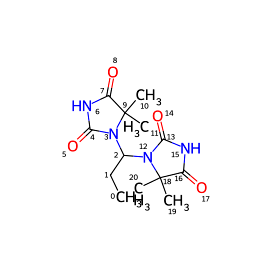 CCC(N1C(=O)NC(=O)C1(C)C)N1C(=O)NC(=O)C1(C)C